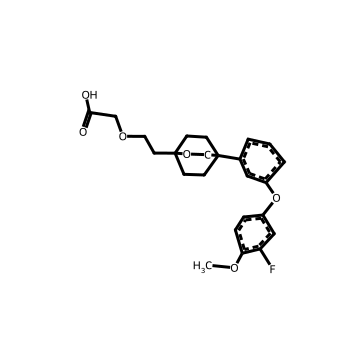 COc1ccc(Oc2cccc(C34CCC(CCOCC(=O)O)(CC3)OC4)c2)cc1F